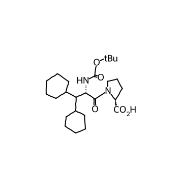 CC(C)(C)OC(=O)N[C@H](C(=O)N1CCC[C@H]1C(=O)O)C(C1CCCCC1)C1CCCCC1